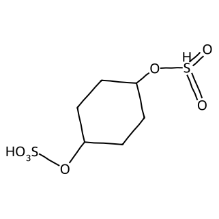 O=[SH](=O)OC1CCC(OS(=O)(=O)O)CC1